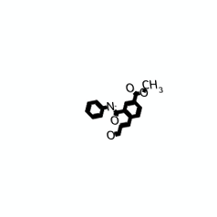 COC(=O)c1ccc(C=CC=O)c(C(=O)[N]c2ccccc2)c1